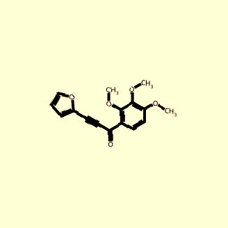 COc1ccc(C(=O)C#Cc2ccco2)c(OC)c1OC